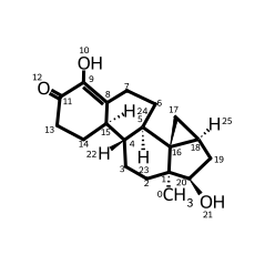 C[C@]12CC[C@H]3[C@@H](CCC4=C(O)C(=O)CC[C@@H]43)[C@@]13C[C@H]3C[C@H]2O